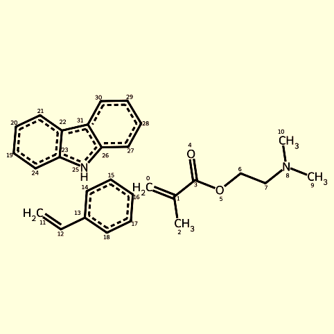 C=C(C)C(=O)OCCN(C)C.C=Cc1ccccc1.c1ccc2c(c1)[nH]c1ccccc12